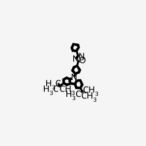 CC(C)(C)c1ccc2c(c1)c1cc(C(C)(C)C)ccc1n2-c1ccc(-c2nc(-c3ccccc3)no2)cc1